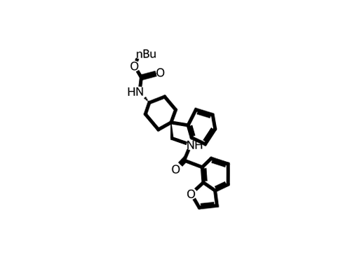 CCCCOC(=O)N[C@H]1CC[C@@](CNC(=O)c2cccc3ccoc23)(c2ccccc2)CC1